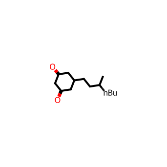 CCCCC(C)CCC1CC(=O)CC(=O)C1